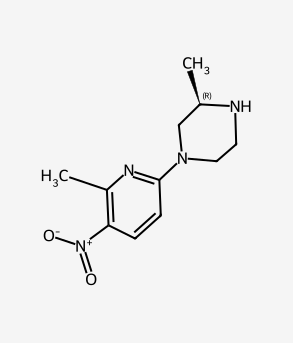 Cc1nc(N2CCN[C@H](C)C2)ccc1[N+](=O)[O-]